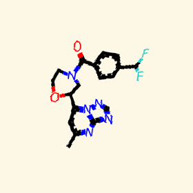 Cc1cc(C2CN(C(=O)c3ccc(C(F)F)cc3)CCO2)n2ncnc2n1